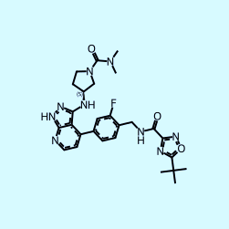 CN(C)C(=O)N1CC[C@H](Nc2n[nH]c3nccc(-c4ccc(CNC(=O)c5noc(C(C)(C)C)n5)c(F)c4)c23)C1